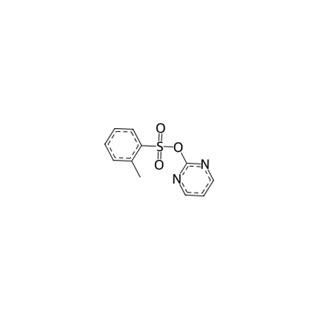 Cc1ccccc1S(=O)(=O)Oc1ncccn1